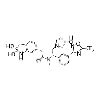 CN(C(=O)Cc1ccc2c(c1)NS(O)(O)C2)[C@H](CN1CCC(O)C1)c1cccc(-c2noc(C(F)(F)F)n2)c1